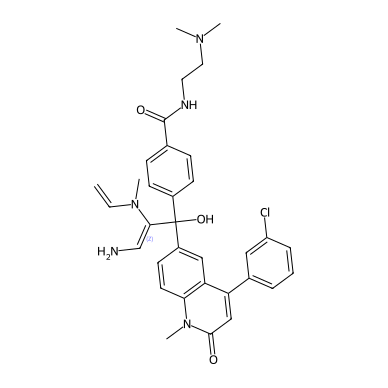 C=CN(C)/C(=C\N)C(O)(c1ccc(C(=O)NCCN(C)C)cc1)c1ccc2c(c1)c(-c1cccc(Cl)c1)cc(=O)n2C